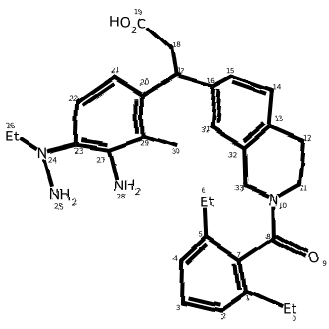 CCc1cccc(CC)c1C(=O)N1CCc2ccc(C(CC(=O)O)c3ccc(N(N)CC)c(N)c3C)cc2C1